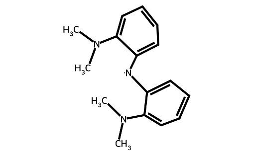 CN(C)c1ccccc1[N]c1ccccc1N(C)C